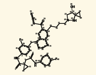 C=C(CC1(C(=C)Nc2ccc(Cc3ccnc4cc(CCCCN5C[C@H](O)C6(CC6)N5)c(C(=O)N=[N+]=[N-])cc34)c(F)c2)CC1)Nc1ccc(F)cc1